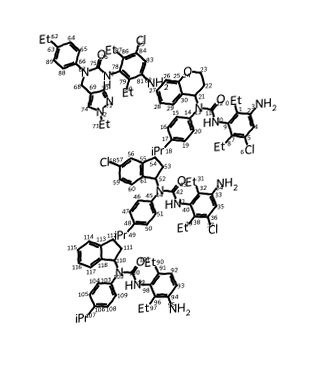 CCc1c(N)cc(Cl)c(CC)c1NC(=O)N(c1ccc(C(C)C)cc1)C1CCOc2ccccc21.CCc1c(N)cc(Cl)c(CC)c1NC(=O)N(c1ccc(C(C)C)cc1)C1CCc2cc(Cl)ccc21.CCc1ccc(N(Cc2cnn(CC)c2)C(=O)Nc2c(CC)c(N)cc(Cl)c2CC)cc1.CCc1ccc(N)c(CC)c1NC(=O)N(c1ccc(C(C)C)cc1)C1CCc2ccccc21